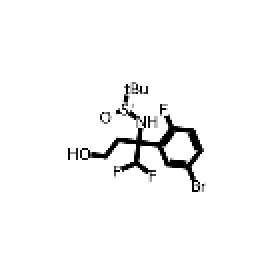 CC(C)(C)[S+]([O-])NC(CCO)(c1cc(Br)ccc1F)C(F)F